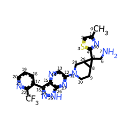 Cc1csc(C2(CN)C3CCN(c4cnc5c(-c6cccnc6C(F)(F)F)n[nH]c5n4)CC32)n1